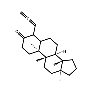 C=C=CC1C(=O)CC[C@@]2(C)C1CC[C@H]1[C@@H]3CCC[C@@]3(C)CC[C@@H]12